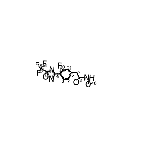 CONC(=O)Cc1ccc(-c2noc(C(F)(F)F)n2)c(F)c1